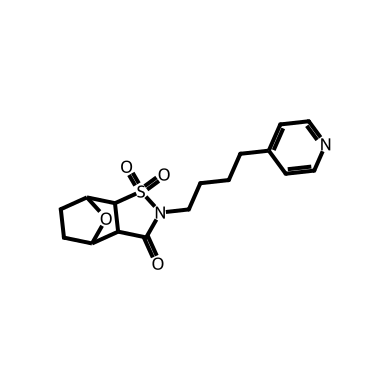 O=C1C2C3CCC(O3)C2S(=O)(=O)N1CCCCc1ccncc1